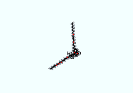 CCCCCCCCCCC=CCCCCCCc1ccc(I(=O)=O)c(C(=O)NC(=O)CCCCCCCCCCCCCCCCC)c1